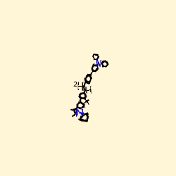 [2H]/C(=C(/[2H])c1ccc2c(c1)C(C)(C)c1cc3c(cc1-2)c(C)c(C)n3-c1ccccc1)c1ccc(-c2ccc(N(c3ccccc3)c3ccccc3)cc2)cc1